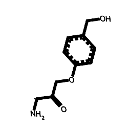 N[CH]C(=O)COc1ccc(CO)cc1